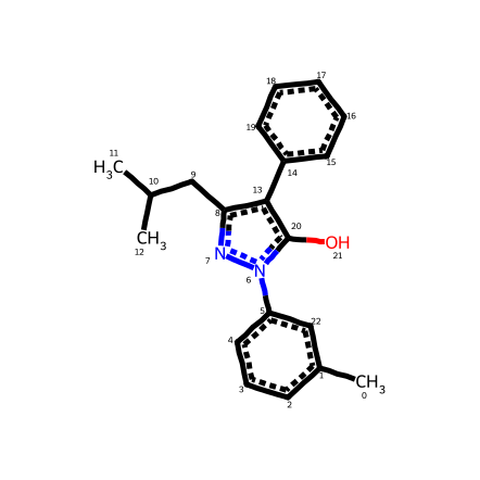 Cc1cccc(-n2nc(CC(C)C)c(-c3ccccc3)c2O)c1